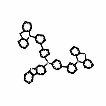 c1cc(-c2ccc(N(c3ccc(-c4cccc(N5c6ccccc6Sc6ccccc65)c4)cc3)c3ccc4c(c3)oc3ccccc34)cc2)cc(N2c3ccccc3Cc3ccccc32)c1